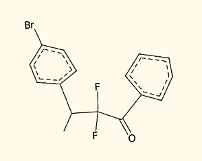 CC(c1ccc(Br)cc1)C(F)(F)C(=O)c1ccccc1